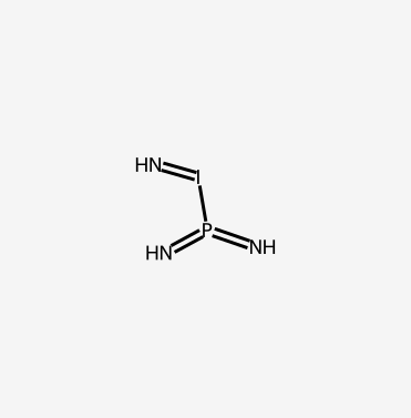 N=IP(=N)=N